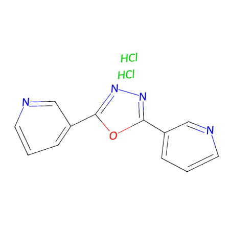 Cl.Cl.c1cncc(-c2nnc(-c3cccnc3)o2)c1